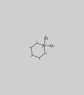 CC[N+]1([O])CCCCC1